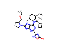 CCOCC1CCCN1c1nc2nc(-c3nc(=O)o[nH]3)nc(N[C@H](C)C3CCC3)c2n1C[C@H]1CC[C@H](C)CC1